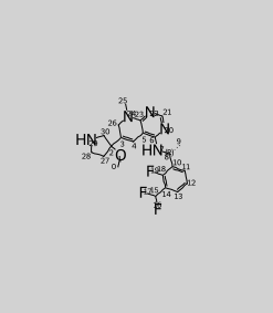 COC1(C2=Cc3c(N[C@H](C)c4cccc(C(F)F)c4F)ncnc3N(C)C2)CCNC1